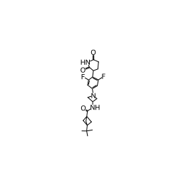 CC(C)(C)C12CC(C(=O)NC3CN(c4cc(F)c(C5CCC(=O)NC5=O)c(F)c4)C3)(C1)C2